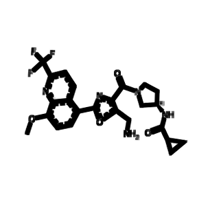 COc1ccc(-c2nc(C(=O)N3CC[C@@H](NC(=O)C4CC4)C3)c(CN)o2)c2ccc(C(F)(F)F)nc12